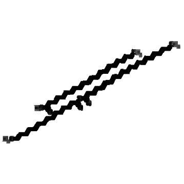 CCCCCCCCCCCCCCCCCCCCCC(=O)O.CCCCCCCCCCCCCCCCCCCCCC(=O)OC(=O)CCCCCCCCCCCCCCC